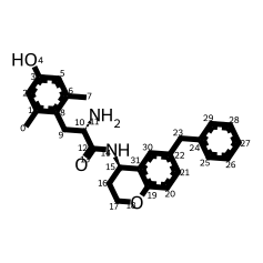 Cc1cc(O)cc(C)c1C[C@H](N)C(=O)N[C@@H]1CCOc2ccc(Cc3ccccc3)cc21